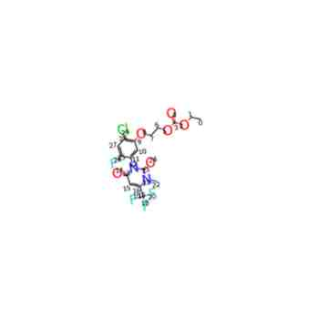 CCOC(=O)OCCOc1cc(-n2c(=O)cc(C(F)(F)F)n(C)c2=O)c(F)cc1Cl